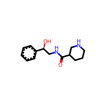 O=C(NC[C@H](O)c1ccccc1)C1CCCNC1